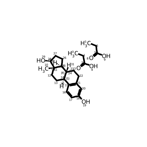 CCC(=O)O.CCC(=O)O.C[C@]12CC[C@@H]3c4ccc(O)cc4CC[C@H]3[C@@H]1CC[C@@H]2O